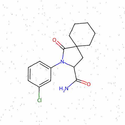 NC(=O)C1CC2(C[CH]CCC2)C(=O)N1c1cccc(Cl)c1